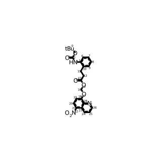 CC(C)(C)OC(=O)Nc1ccccc1CCC(=O)OCOc1ccc([N+](=O)[O-])c2cccnc12